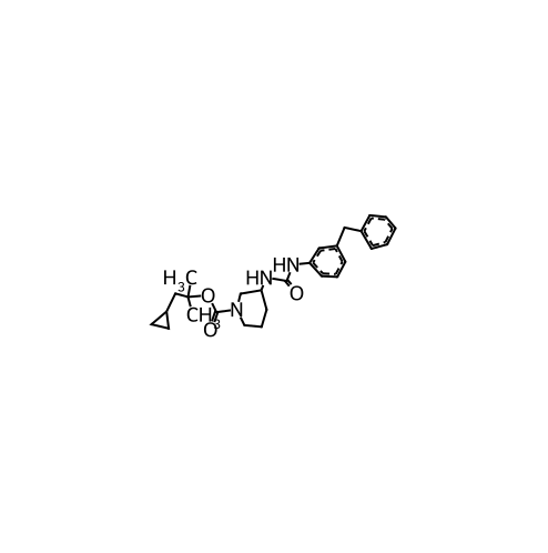 CC(C)(CC1CC1)OC(=O)N1CCCC(NC(=O)Nc2cccc(Cc3ccccc3)c2)C1